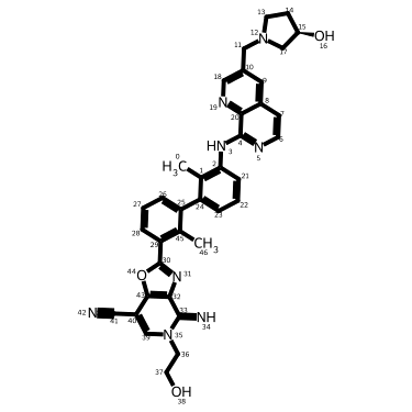 Cc1c(Nc2nccc3cc(CN4CC[C@@H](O)C4)cnc23)cccc1-c1cccc(-c2nc3c(=N)n(CCO)cc(C#N)c3o2)c1C